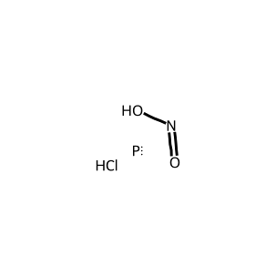 Cl.O=NO.[P]